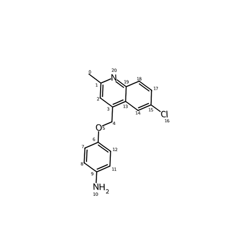 Cc1cc(COc2ccc(N)cc2)c2cc(Cl)ccc2n1